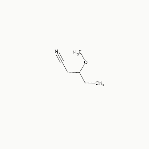 CCC(CC#N)OC